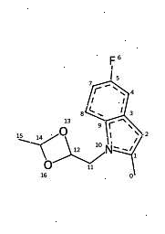 Cc1cc2cc(F)ccc2n1CC1OC(C)O1